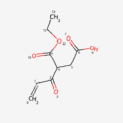 C=CC(=O)C(CC(=O)O)C(=O)OCC